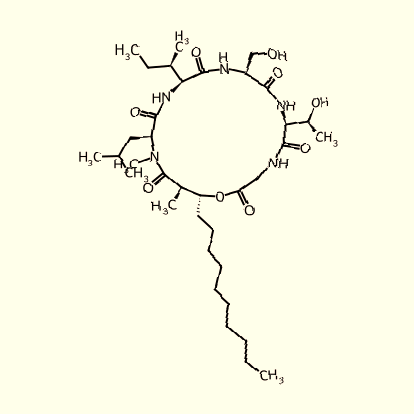 CCCCCCCCCC[C@H]1OC(=O)CNC(=O)[C@H]([C@H](C)O)NC(=O)[C@H](CO)NC(=O)[C@H]([C@H](C)CC)NC(=O)[C@H](CC(C)C)N(C)C(=O)[C@@H]1C